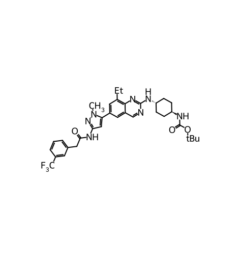 CCc1cc(-c2cc(NC(=O)Cc3cccc(C(F)(F)F)c3)nn2C)cc2cnc(N[C@H]3CC[C@H](NC(=O)OC(C)(C)C)CC3)nc12